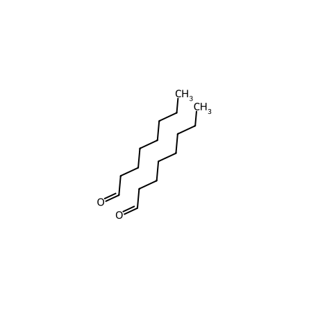 CCCCCCCC=O.CCCCCCCC=O